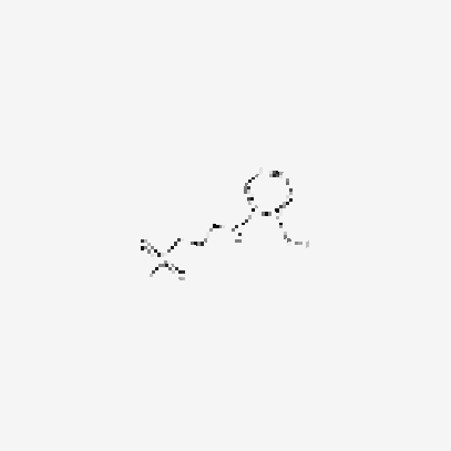 CS(=O)(=O)CCCNc1ccccc1[N+](=O)[O-]